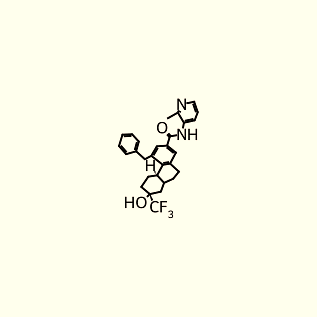 Cc1ncccc1NC(=O)c1cc2c(c(Cc3ccccc3)c1)[C@@H]1CC[C@](O)(C(F)(F)F)CC1CC2